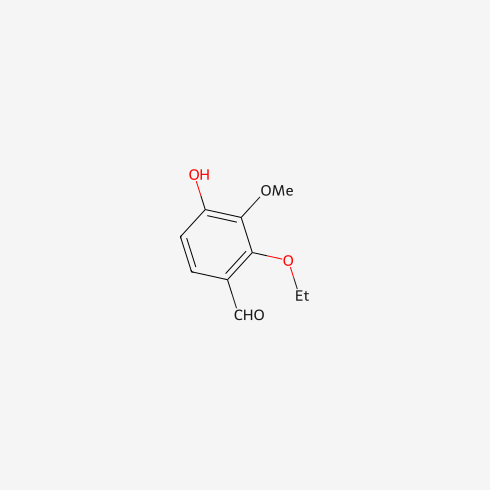 CCOc1c(C=O)ccc(O)c1OC